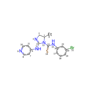 CCC1CN=C(Nc2ccncc2)N1C(=S)Nc1cccc(Br)c1